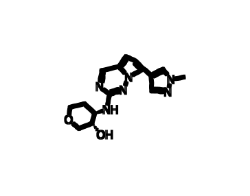 Cn1cc(-c2ccc3cnc(N[C@@H]4CCOC[C@H]4O)nn23)cn1